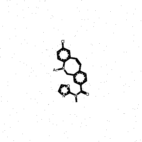 CC(=O)N1Cc2cc(C(=O)N(C)c3ncco3)ccc2C=Cc2cc(Cl)ccc21